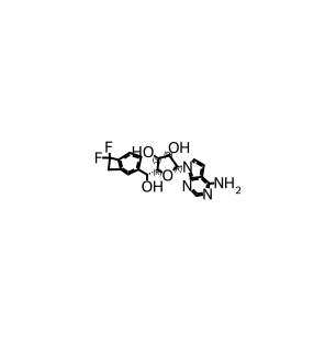 Nc1ncnc2c1ccn2[C@@H]1O[C@H](C(O)c2ccc3c(c2)CC3(F)F)[C@@H](O)[C@H]1O